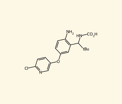 CC(C)(C)C(NC(=O)O)c1cc(Oc2ccc(Cl)nc2)ccc1N